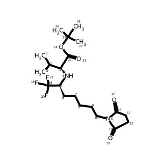 CC(C)[C@H](N[C@@H](CCCCCN1C(=O)CCC1=O)C(F)(F)F)C(=O)OC(C)(C)C